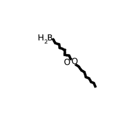 BCCCCCCCC(=O)OCCCCCCCCC